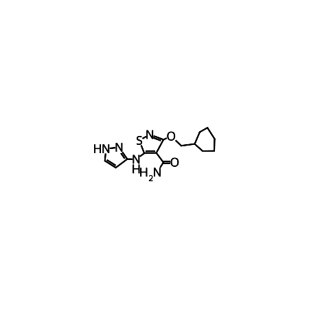 NC(=O)c1c(OCC2CCCCC2)nsc1Nc1cc[nH]n1